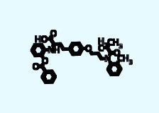 Cc1ccccc1N(CCCOc1ccc(CCC(Nc2ccccc2OC(=O)c2ccccc2)C(=O)O)cc1)C(=O)C(C)C